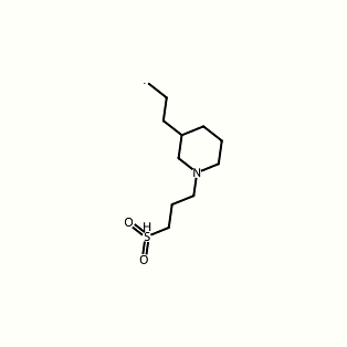 [CH2]CCC1CCCN(CCC[SH](=O)=O)C1